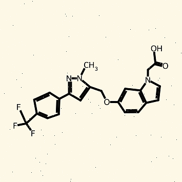 Cn1nc(-c2ccc(C(F)(F)F)cc2)cc1COc1ccc2ccn(CC(=O)O)c2c1